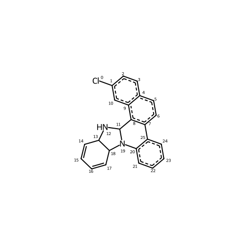 Clc1ccc2ccc3c(c2c1)C1NC2C=CC=CC2N1c1ccccc1-3